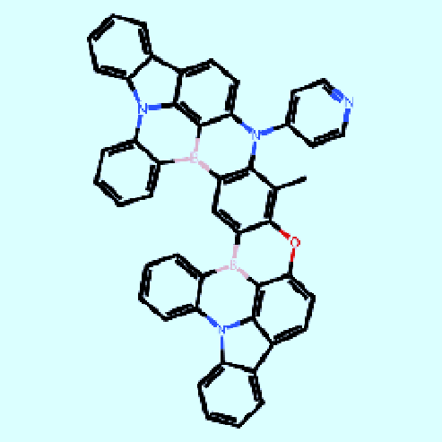 Cc1c2c(cc3c1N(c1ccncc1)c1ccc4c5ccccc5n5c4c1B3c1ccccc1-5)B1c3ccccc3-n3c4ccccc4c4ccc(c1c43)O2